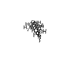 CCCCN1Cc2c(O)c3c(c(F)c2C1)C[C@H]1C[C@H]2[C@H](N)C(O)=C(C(N)=O)C(=O)[C@@]2(O)C(O)=C1C3=O